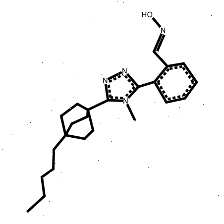 CCCCCC12CCC(c3nnc(-c4ccccc4/C=N/O)n3C)(CC1)CC2